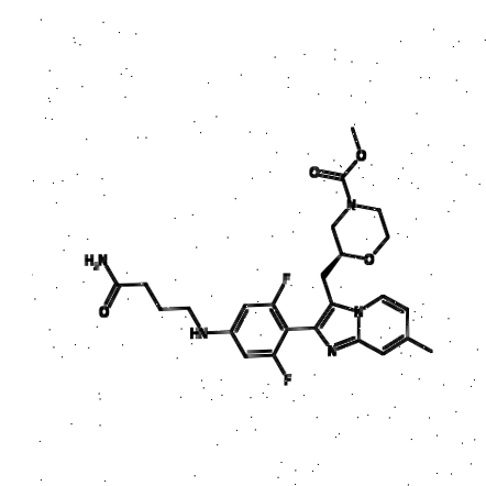 COC(=O)N1CCO[C@@H](Cc2c(-c3c(F)cc(NCCCC(N)=O)cc3F)nc3cc(C)ccn23)C1